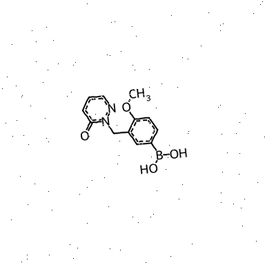 COc1ccc(B(O)O)cc1Cn1ncccc1=O